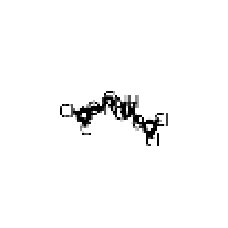 Clc1cc(Cl)cc(OCC2COC(NC3=NC(COc4cc(Cl)cc(Cl)c4)CO3)=N2)c1